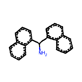 NC(c1cccc2ccccc12)c1cccc2ccccc12